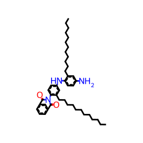 CCCCCCCCCCCCc1cc(N)ccc1Nc1ccc(N2C(=O)c3cccc(c3)C2=O)c(CCCCCCCCCCCC)c1